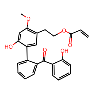 C=CC(=O)OCCc1cc(-c2ccccc2C(=O)c2ccccc2O)c(O)cc1OC